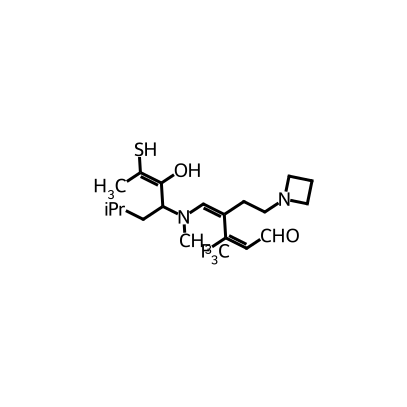 C/C(S)=C(/O)C(CC(C)C)N(C)/C=C(CCN1CCC1)\C(=C/C=O)C(F)(F)F